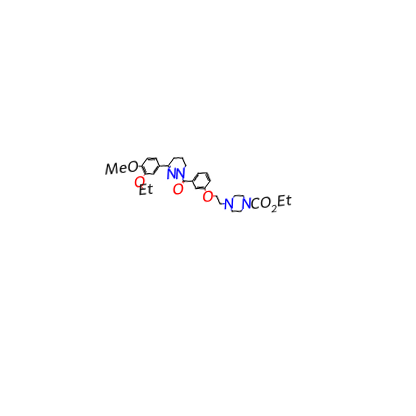 CCOC(=O)N1CCN(CCOc2cccc(C(=O)N3CCCC(c4ccc(OC)c(OCC)c4)=N3)c2)CC1